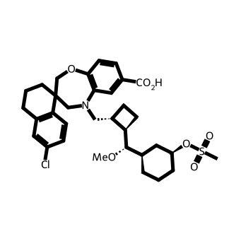 CO[C@@H]([C@@H]1CCC[C@H](OS(C)(=O)=O)C1)[C@@H]1CC[C@H]1CN1CC2(CCCc3cc(Cl)ccc32)COc2ccc(C(=O)O)cc21